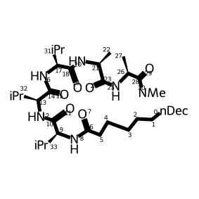 CCCCCCCCCCCCCCCC(=O)N[C@H](C(=O)N[C@H](C(=O)N[C@H](C(=O)N[C@@H](C)C(=O)N[C@@H](C)C(=O)NC)C(C)C)C(C)C)C(C)C